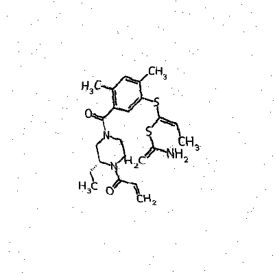 C=CC(=O)N1CCN(C(=O)c2cc(S/C(=C/C)SC(=C)N)c(C)cc2C)C[C@H]1CC